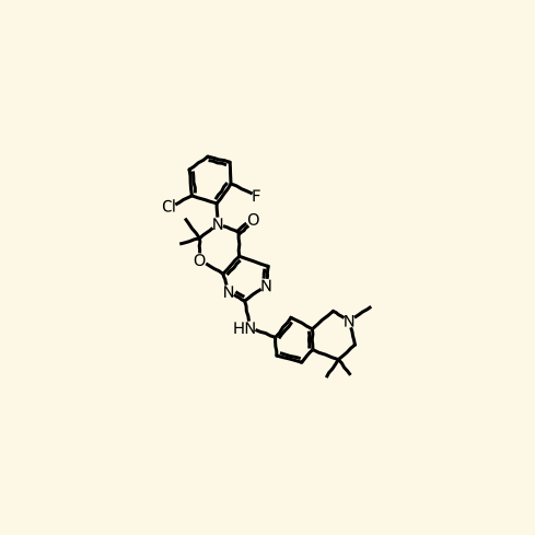 CN1Cc2cc(Nc3ncc4c(n3)OC(C)(C)N(c3c(F)cccc3Cl)C4=O)ccc2C(C)(C)C1